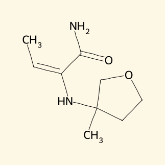 CC=C(NC1(C)CCOC1)C(N)=O